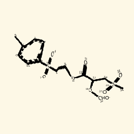 Cc1ccc(S(=O)(=O)CCOC(=O)C(CS(C)(=O)=O)O[C]=O)cc1